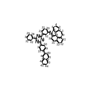 C1=Cc2cccc3c2c2c4c1cccc4ccc2n3-c1cccc(-c2nc(-c3ccccc3)nc(-c3ccc(-c4ccc5ccccc5c4)cc3)n2)c1